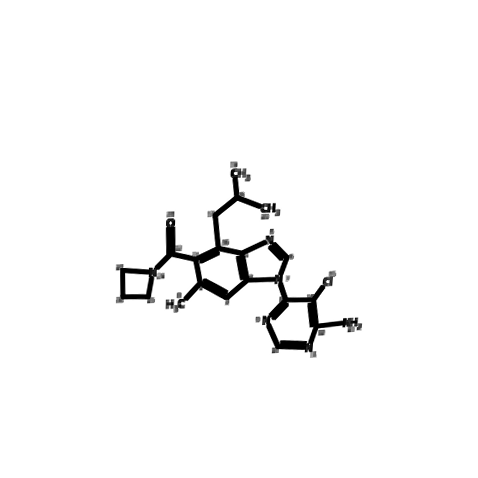 Cc1cc2c(ncn2-c2ncnc(N)c2Cl)c(CC(C)C)c1C(=O)N1CCC1